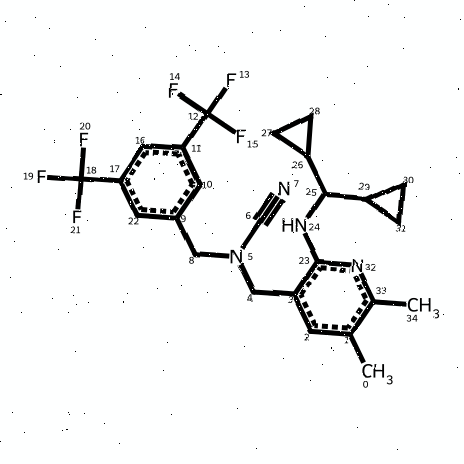 Cc1cc(CN(C#N)Cc2cc(C(F)(F)F)cc(C(F)(F)F)c2)c(NC(C2CC2)C2CC2)nc1C